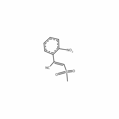 CS(=O)(=O)C=C(C#N)c1ccccc1[N+](=O)[O-]